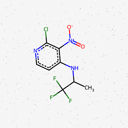 CC(Nc1ccnc(Cl)c1[N+](=O)[O-])C(F)(F)F